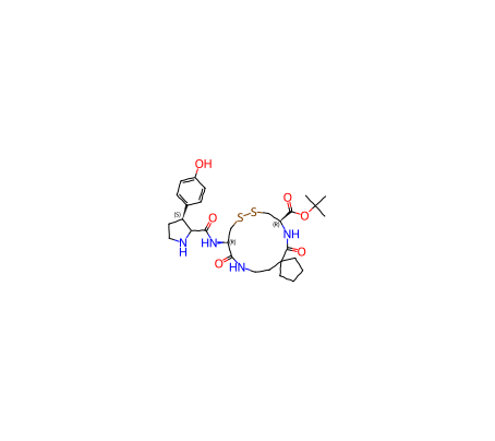 CC(C)(C)OC(=O)[C@@H]1CSSC[C@H](NC(=O)C2NCC[C@H]2c2ccc(O)cc2)C(=O)NCCC2(CCCC2)C(=O)N1